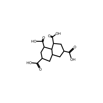 O=C(O)C1CC2CC(C(=O)O)CC(C(=O)O)C2C(C(=O)O)C1